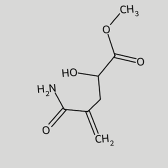 C=C(CC(O)C(=O)OC)C(N)=O